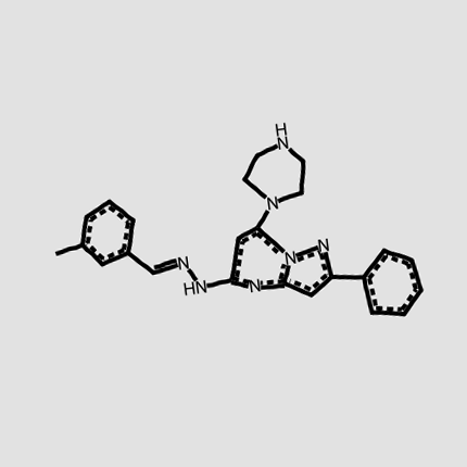 Cc1cccc(C=NNc2cc(N3CCNCC3)n3nc(-c4ccccc4)cc3n2)c1